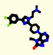 CC(C)n1c(=O)[nH]c2ncnc(N3CCC(c4nc(-c5ccc(F)c(F)c5)cn4CCN(C)C)CC3)c21